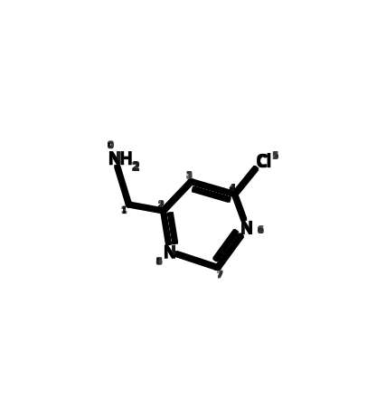 NCc1cc(Cl)ncn1